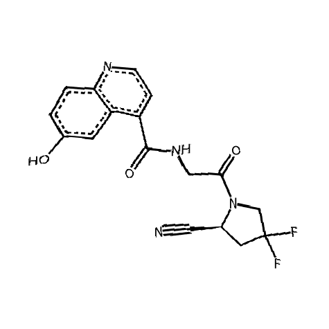 N#C[C@@H]1CC(F)(F)CN1C(=O)CNC(=O)c1ccnc2ccc(O)cc12